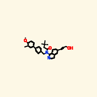 COc1ccc(-c2ccc(CN(C(=O)CC(C)(C)C)c3nccc4cc(C#CCO)ccc34)cc2)cc1C